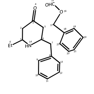 CCC1CC(=O)CC(Cc2ccccc2)N1.O=COCc1ccccc1